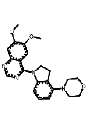 COc1cc2ncnc(N3CCc4c(N5CCOCC5)cccc43)c2cc1OC